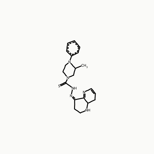 CC1CN(C(=S)N/N=C2/CCNC3CC=CN=C23)CCN1c1ccccc1